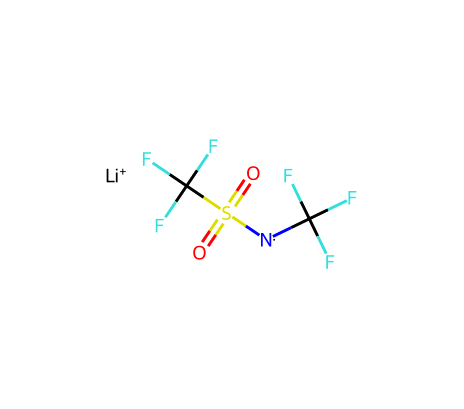 O=S(=O)([N]C(F)(F)F)C(F)(F)F.[Li+]